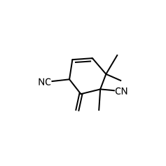 C=C1C(C#N)C=CC(C)(C)C1(C)C#N